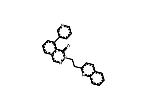 O=c1c2c(-c3cccnc3)cccc2cnn1CCc1ccc2ccccc2n1